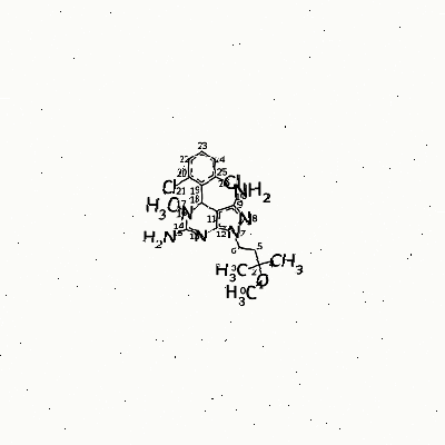 COC(C)(C)CCn1nc(N)c2c1N=C(N)N(C)C2c1c(Cl)cccc1Cl